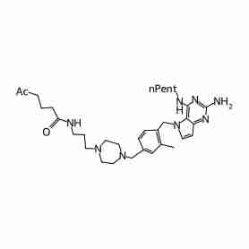 CCCCCNc1nc(N)nc2ccn(Cc3ccc(CN4CCN(CCCNC(=O)CCCC(C)=O)CC4)cc3C)c12